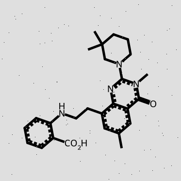 Cc1cc(CCNc2ccccc2C(=O)O)c2nc(N3CCCC(C)(C)C3)n(C)c(=O)c2c1